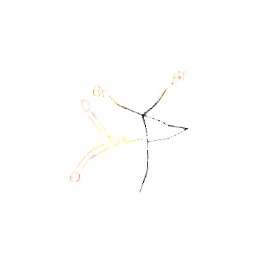 CC1([SH](=O)=O)CC1(Br)Br